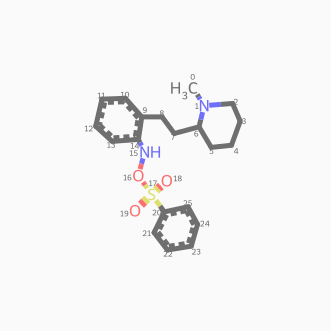 CN1CCCCC1CCc1ccccc1NOS(=O)(=O)c1ccccc1